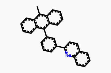 Cc1c2ccccc2c(-c2cccc(-c3ccc4ccccc4n3)c2)c2ccccc12